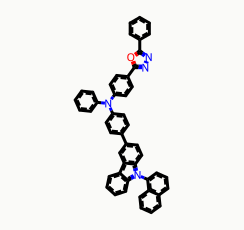 c1ccc(-c2nnc(-c3ccc(N(c4ccccc4)c4ccc(-c5ccc6c(c5)c5ccccc5n6-c5cccc6ccccc56)cc4)cc3)o2)cc1